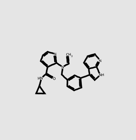 C=CN(Cc1cccc(-c2c[nH]c3ncccc23)c1)c1ncccc1C(=O)NC1CC1